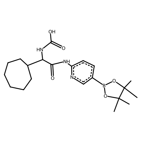 CC1(C)OB(c2ccc(NC(=O)C(NC(=O)O)C3CCCCCC3)nc2)OC1(C)C